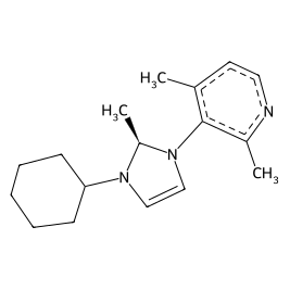 Cc1ccnc(C)c1N1C=CN(C2CCCCC2)[C@H]1C